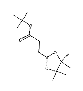 CC(C)(C)OC(=O)CCB1OC(C)(C)C(C)(C)O1